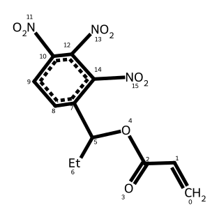 C=CC(=O)OC(CC)c1ccc([N+](=O)[O-])c([N+](=O)[O-])c1[N+](=O)[O-]